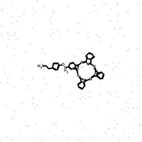 NCCc1ccc(O[SiH2]c2ccc3c4nc5nc(nc6[nH]c(nc7nc(nc([nH]4)c3c2)-c2ccccc2-7)c2ccccc62)-c2ccccc2-5)cc1